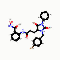 O=C(CCC1C(=O)N(c2ccccc2)C(=O)N1Cc1ccc(Br)cc1)Nc1ccccc1C(=O)NO